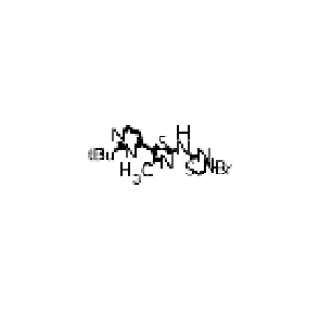 Cc1nc(NC2=NN(Br)CS2)sc1-c1ccnc(C(C)(C)C)n1